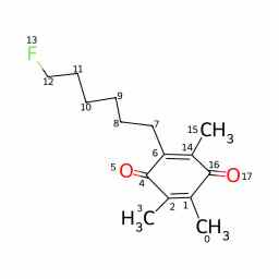 CC1=C(C)C(=O)C(CCCCCCF)=C(C)C1=O